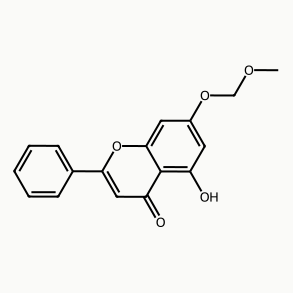 COCOc1cc(O)c2c(=O)cc(-c3ccccc3)oc2c1